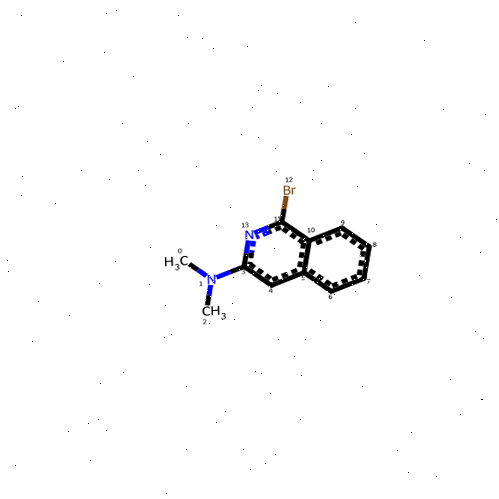 CN(C)c1cc2ccccc2c(Br)n1